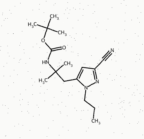 CCCn1nc(C#N)cc1CC(C)(C)NC(=O)OC(C)(C)C